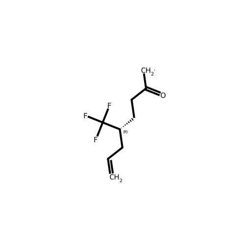 [CH2]C(=O)CC[C@H](CC=C)C(F)(F)F